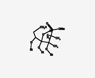 CCOC(CC(=O)O)C(OCC)(OCC)C(C)(OCC)C(C)(C)C(=O)OC